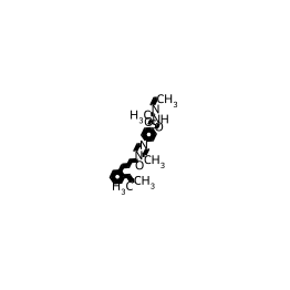 C/C=C\N=C(/C)NS(=O)(=O)c1ccc(N2CCN(C(=O)C/C=C/c3ccccc3C=C(C)C)C(C)C2)cc1